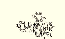 CCC(=O)N(c1cscn1)[C@@](CC(=O)N(C)CCN1CCOCC1)(Cc1ccccc1)C(N)=O